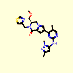 COC[C@H]1Cn2cc(-c3nc(Nc4cc(C)nn4C)ncc3C)cc2C(=O)N1Cc1cscn1